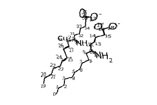 CCCCCCCCCCC(N)CCCCC(=O)[O-].CCCCCCCCCCC(N)CCCCC(=O)[O-].[Cu+2]